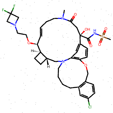 CN1CC/C=C/[C@H](OCCN2CC(F)(F)C2)[C@@H]2CC[C@H]2CN2CCCCc3cc(Cl)ccc3COc3ccc(cc32)[C@@](O)(C(=O)NS(C)(=O)=O)CC1=O